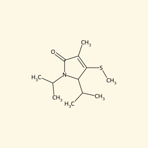 CSC1=C(C)C(=O)N(C(C)C)C1C(C)C